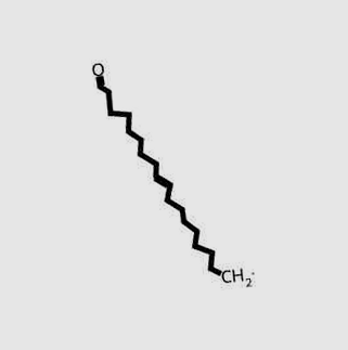 [CH2]CCCCCCCC=CCCCCCCCC=O